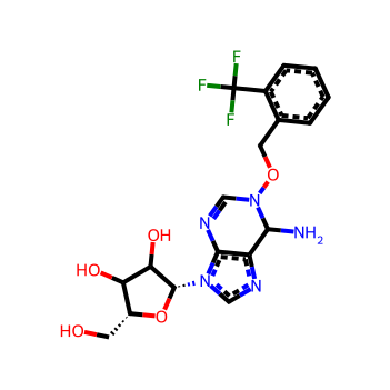 NC1c2ncn([C@@H]3O[C@H](CO)C(O)C3O)c2N=CN1OCc1ccccc1C(F)(F)F